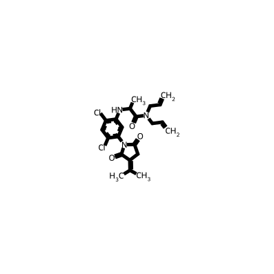 C=CCN(CC=C)C(=O)C(C)Nc1cc(N2C(=O)CC(=C(C)C)C2=O)c(Cl)cc1Cl